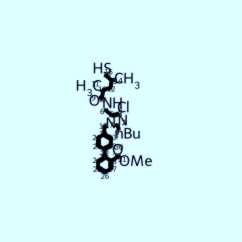 CCCCc1nc(Cl)c(CNC(=O)C(C)CC(C)CS)n1Cc1ccc(-c2ccccc2C(=O)OC)cc1